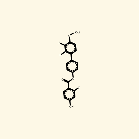 CCCCCCCCOc1ccc(-c2ccc(OC(=O)c3ccc(O)cc3F)cc2)c(F)c1F